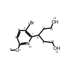 COc1ccc(Br)c(C(CCO)CCO)n1